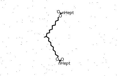 CCCCCCCC(=O)OCCCCCCCCCC(C)CCCCCCCCCOC(=O)CCCCCCC